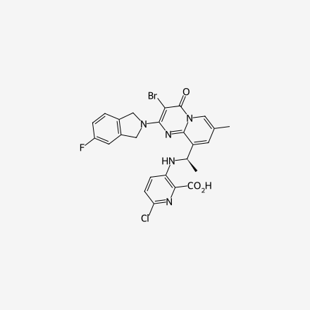 Cc1cc([C@@H](C)Nc2ccc(Cl)nc2C(=O)O)c2nc(N3Cc4ccc(F)cc4C3)c(Br)c(=O)n2c1